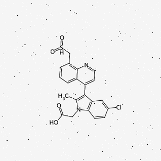 Cc1c(-c2ccnc3c(C[SH](=O)=O)cccc23)c2cc(Cl)ccc2n1CC(=O)O